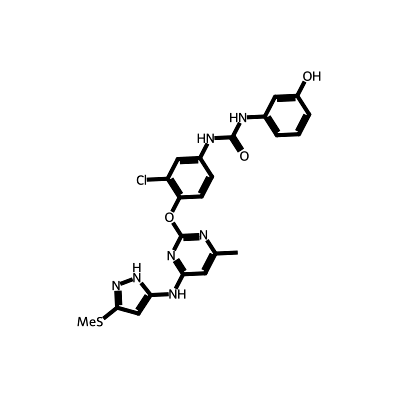 CSc1cc(Nc2cc(C)nc(Oc3ccc(NC(=O)Nc4cccc(O)c4)cc3Cl)n2)[nH]n1